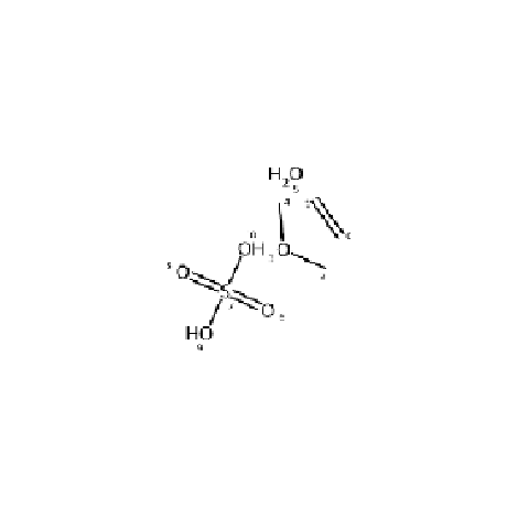 C=C.COC.O.O=S(=O)(O)O